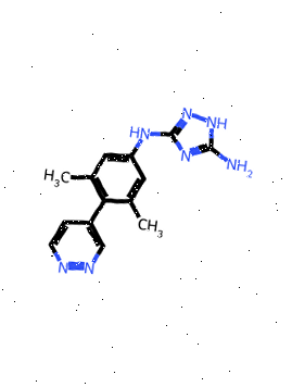 Cc1cc(Nc2n[nH]c(N)n2)cc(C)c1-c1ccnnc1